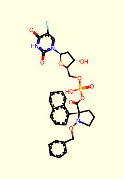 O=C(OP(=O)(O)OC[C@H]1O[C@@H](n2cc(F)c(=O)[nH]c2=O)C[C@@H]1O)[C@]1(c2cccc3ccccc23)CCCN1OCc1ccccc1